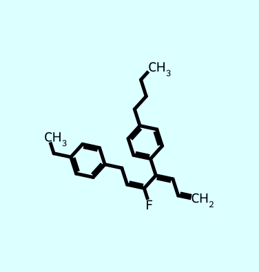 C=C/C=C(\C(F)=C/Cc1ccc(CC)cc1)c1ccc(CCCC)cc1